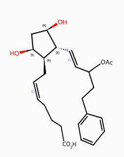 CC(=O)OC(/C=C/[C@@H]1[C@@H](C/C=C\CCCC(=O)O)[C@@H](O)C[C@H]1O)CCc1ccccc1